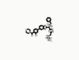 NS(=O)(=O)NCc1nnc(C(c2nc3ccc(-c4ccc(C(=O)N5CCOCC5)c(Cl)c4)cc3s2)S(=O)(=O)Cc2ccccc2)o1